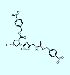 O=C(NCc1n[nH]c([C@@H]2C[C@H](S)CN2C(=O)OCc2ccc([N+](=O)[O-])cc2)n1)OCc1ccc([N+](=O)[O-])cc1